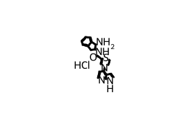 Cl.N[C@@H]1c2ccccc2C[C@@H]1NC(=O)C1=CN(c2ccnc3[nH]ccc23)CCS1